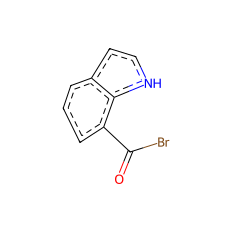 O=C(Br)c1cccc2cc[nH]c12